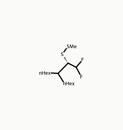 CCCCCCC(CCCCCC)[C@H](SSC)C(F)F